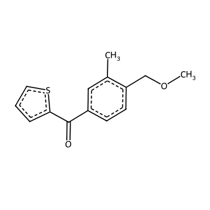 COCc1ccc(C(=O)c2cccs2)cc1C